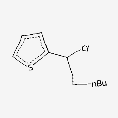 CCCCCC(Cl)c1cccs1